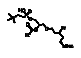 CCCCCCCCCCCCC(CC)CCOCC(COP(=O)(O)CC[N+](C)(C)C)OC(=O)CC